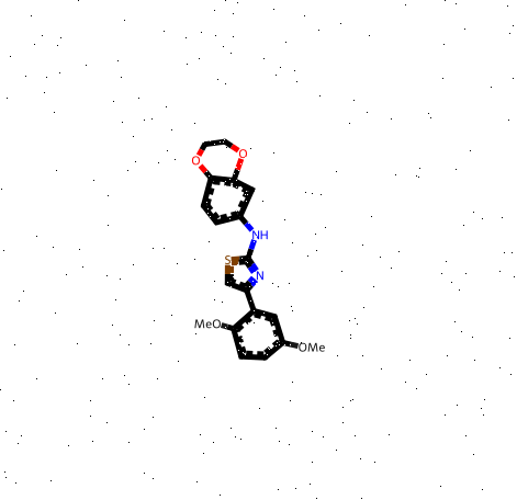 COc1ccc(OC)c(-c2csc(Nc3ccc4c(c3)OCCO4)n2)c1